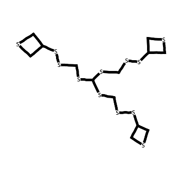 C(SSC1CSC1)SC(SCSSC1CSC1)SCSSC1CSC1